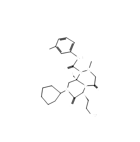 CSCC[C@H]1C(=O)N(C2CCCCC2)C[C@H]2N1C(=O)CN(C)N2C(=O)Nc1cccc(F)c1